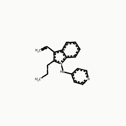 C=Cc1c(CCC)n(Nc2ccncc2)c2ccccc12